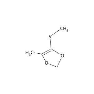 CSC1=C(C)OCO1